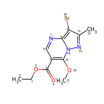 CCOC(=O)c1cnc2c(Br)c(C)nn2c1OC